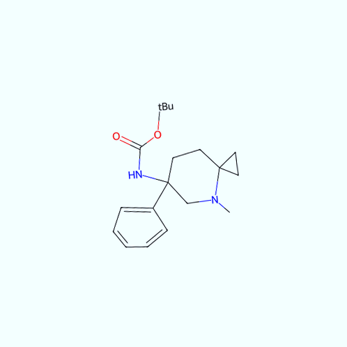 CN1CC(NC(=O)OC(C)(C)C)(c2ccccc2)CCC12CC2